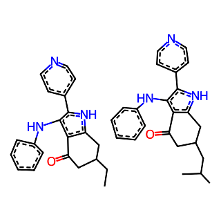 CC(C)CC1CC(=O)c2c([nH]c(-c3ccncc3)c2Nc2ccccc2)C1.CCC1CC(=O)c2c([nH]c(-c3ccncc3)c2Nc2ccccc2)C1